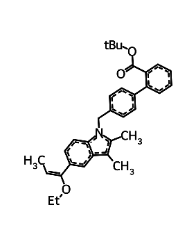 C/C=C(/OCC)c1ccc2c(c1)c(C)c(C)n2Cc1ccc(-c2ccccc2C(=O)OC(C)(C)C)cc1